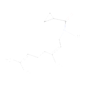 CC(C)=CCC/C(C)=C\CN(C)C(=O)C1CC1